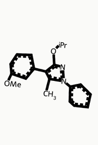 COc1cccc(-c2c(OC(C)C)nn(-c3ccccc3)c2C)c1